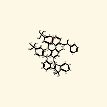 CC(c1ccccc1)[C@@H](Cc1cc2c3c(c1)-n1c4c(c5cccc(c51)B3c1ccc(C(C)(C)C)cc1N2c1cccc(C(C)(C)C)c1)C(C)(C)c1ccccc1-4)c1ccccc1